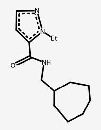 CCn1nccc1C(=O)NCC1CCCCCC1